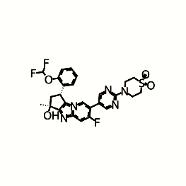 C[C@]1(O)C[C@H](c2ccccc2OC(F)F)c2c1nc1cc(F)c(-c3cnc(N4CCS(=O)(=O)CC4)nc3)cn21